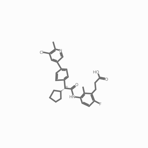 Cc1ncc(-c2ccc([C@H](C(=O)Nc3ccc(F)c(CCC(=O)O)c3C)C3CCCC3)cc2)cc1Cl